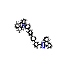 C1=CC(c2cccc(-c3cnc4c5ccccc5c5ccccc5c4n3)c2)CC=C1c1ccc(-c2ccc3c4ccccc4n(-c4cccc5ccccc45)c3c2)cc1